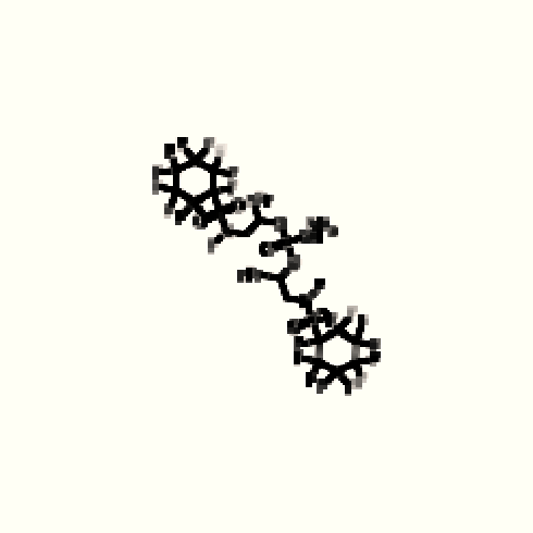 CCCC(CN(F)S(=O)(=O)C1(F)C(F)(F)C(F)(F)C(F)(F)C(F)(F)C1(F)F)OP(=O)(O)OC(CCC)CN(F)S(=O)(=O)C1(F)C(F)(F)C(F)(F)C(F)(F)C(F)(F)C1(F)F.N